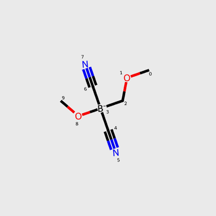 COC[B-](C#N)(C#N)OC